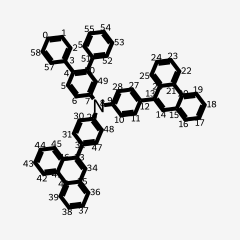 c1ccc(-c2ccc(N(c3ccc(-c4cc5ccccc5c5ccccc45)cc3)c3ccc(-c4cc5ccccc5c5ccccc45)cc3)cc2-c2ccccc2)cc1